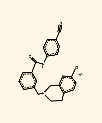 Cl.N#Cc1ccc(NC(=O)c2cccc(CN3CCc4ccc(Cl)cc4C3)c2)cc1